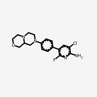 Nc1nc(F)c(-c2ccc(N3CCN4CCOCC4C3)cc2)cc1Cl